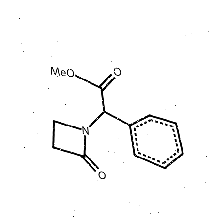 COC(=O)C(c1ccccc1)N1CCC1=O